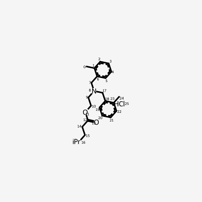 Cc1ccccc1CN(CCOC(=O)CCC(C)C)Cc1ccccc1C.Cl